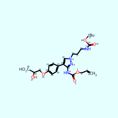 C=CCOC(=O)Nc1nn(CCCNC(=O)OC(C)(C)C)cc1-c1ccc(OCC(O)C(=O)O)cc1